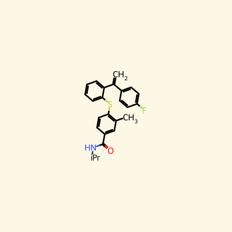 C=C(c1ccc(F)cc1)c1ccccc1Sc1ccc(C(=O)NC(C)C)cc1C